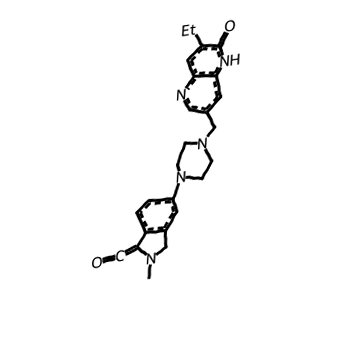 CCc1cc2ncc(CN3CCN(c4ccc5c(c4)CN(C)C5=C=O)CC3)cc2[nH]c1=O